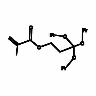 C=C(C)C(=O)OCCC(OC(C)C)(OC(C)C)OC(C)C